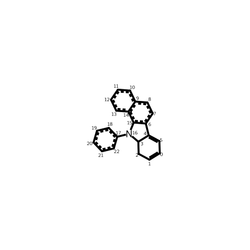 C1=CCC2C(=C1)c1ccc3ccccc3c1N2c1ccccc1